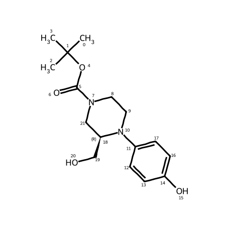 CC(C)(C)OC(=O)N1CCN(c2ccc(O)cc2)[C@@H](CO)C1